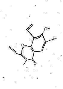 C=Cc1oc2c(C=C)c(O)c(C(C)=O)cc2c(=O)c1C